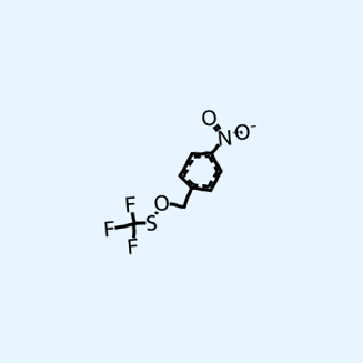 O=[N+]([O-])c1ccc(COSC(F)(F)F)cc1